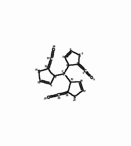 O=C=C1SC=CC1P(C1C=CSC1=C=O)C1C=CSC1=C=O